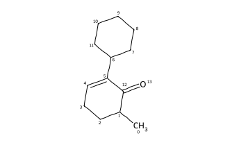 CC1CCC=C(C2CCCCC2)C1=O